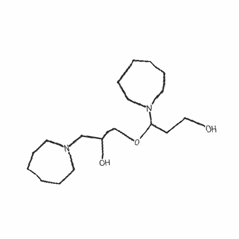 OCCC(OCC(O)CN1CCCCCC1)N1CCCCCC1